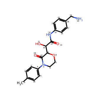 Cc1ccc(N2CCOC(C(O)C(=O)Nc3ccc(CN)cc3)C2=O)cc1